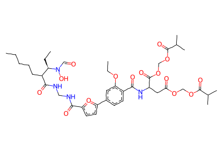 CCCCCC(C(=O)NCNC(=O)c1ccc(-c2ccc(C(=O)NC(CC(=O)OCOC(=O)C(C)C)C(=O)OCOC(=O)C(C)C)c(OCC)c2)o1)[C@@H](CC)N(O)C=O